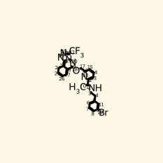 CC(NCCc1cccc(Br)c1)c1cccc(COC2=NN3C(=C4CC=CC=C24)N=N[C@H]3C(F)(F)F)n1